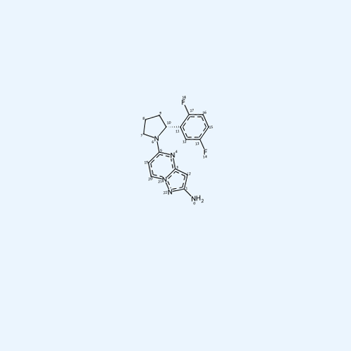 Nc1[c]c2nc(N3CCC[C@@H]3c3cc(F)ccc3F)ccn2n1